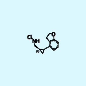 ClNC[C@@H]1CC1c1cccc2c1CCO2